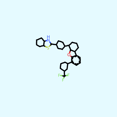 FC(F)(F)C1CCCC(c2cccc3c2OC2C3CCCC2C2CCC(C3NC4CCCCC4S3)CC2)C1